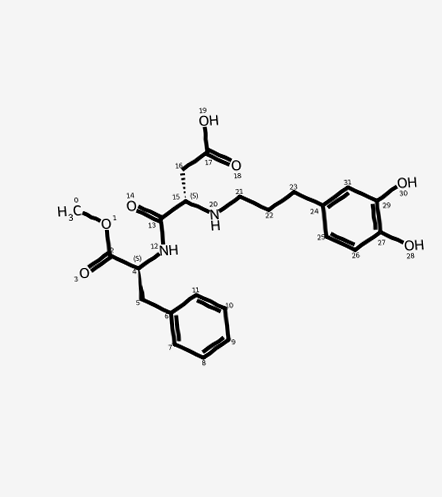 COC(=O)[C@H](Cc1ccccc1)NC(=O)[C@H](CC(=O)O)NCCCc1ccc(O)c(O)c1